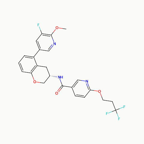 COc1ncc(-c2cccc3c2C[C@H](NC(=O)c2ccc(OCCC(F)(F)F)nc2)CO3)cc1F